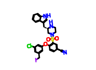 N#Cc1ccc(Oc2cc(Cl)cc(CI)c2)c(S(=O)(=O)N2CCN[C@@H](Cc3c[nH]c4ccccc34)C2)c1